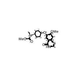 COC(=O)N(C)[C@H]1CC[C@@H](Oc2cc3c(=O)[nH]cnc3cc2OC)CC1